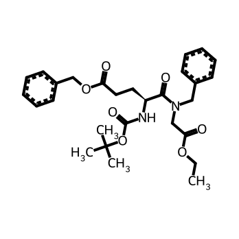 CCOC(=O)CN(Cc1ccccc1)C(=O)[C@H](CCC(=O)OCc1ccccc1)NC(=O)OC(C)(C)C